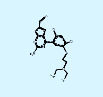 CCN(CC)CCOc1cc(-c2nc(N)nc3sc(C=O)cc23)c(Cl)cc1Cl